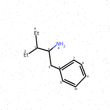 CCC(CC)C(N)Cc1ccccc1